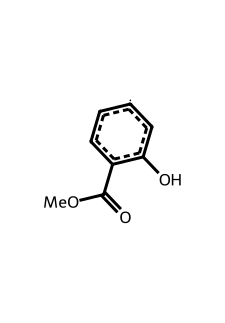 COC(=O)c1cc[c]cc1O